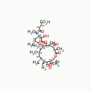 CC[C@H]1OC(=O)[C@H](C)[C@@H](O)[C@H](C)[C@@H](O[C@H]2O[C@H](C)C[C@@H](N(C)C(=O)CCC(=O)O)[C@H]2O)[C@](C)(O)C[C@@H](C)CN(C)[C@H](C)[C@@H](O)[C@]1(C)O